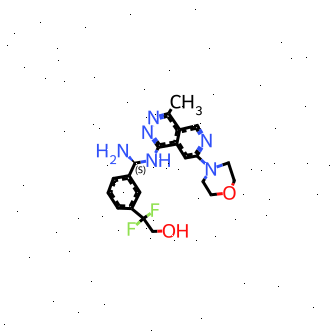 Cc1nnc(N[C@H](N)c2cccc(C(F)(F)CO)c2)c2cc(N3CCOCC3)ncc12